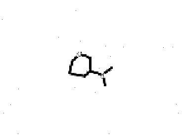 CN(C)C1CCCOC1